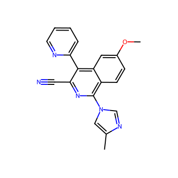 COc1ccc2c(-n3cnc(C)c3)nc(C#N)c(-c3ccccn3)c2c1